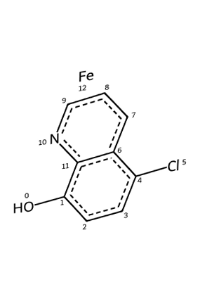 Oc1ccc(Cl)c2cccnc12.[Fe]